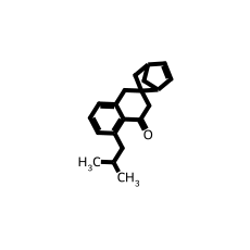 CC(C)Cc1cccc2c1C(=O)CC1(C2)CC2C=CC1C2